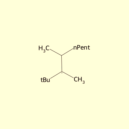 CCCCCC(C)[C](C)C(C)(C)C